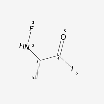 C[C@H](NF)C(=O)I